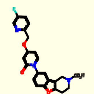 O=C(O)N1CCc2oc3ccc(-n4ccc(OCc5ccc(F)cn5)cc4=O)cc3c2C1